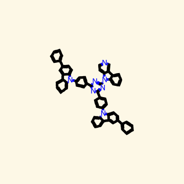 c1ccc(-c2ccc3c(c2)c2ccccc2n3-c2ccc(-c3nc(-c4ccc(-n5c6ccccc6c6cc(-c7ccccc7)ccc65)cc4)nc(-n4c5ccccc5c5cnccc54)n3)cc2)cc1